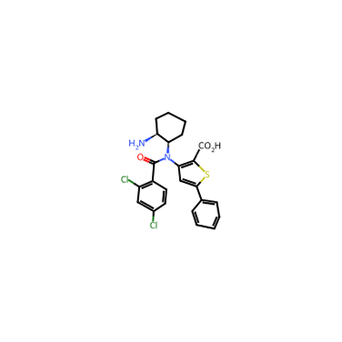 N[C@H]1CCCC[C@H]1N(C(=O)c1ccc(Cl)cc1Cl)c1cc(-c2ccccc2)sc1C(=O)O